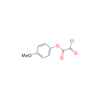 COc1ccc(OC(=O)C(=O)Cl)cc1